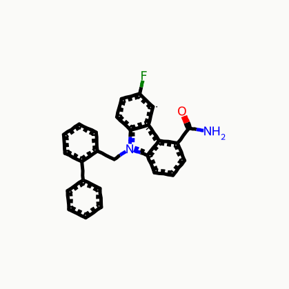 NC(=O)c1cccc2c1c1[c]c(F)ccc1n2Cc1ccccc1-c1ccccc1